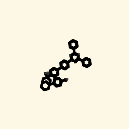 CC1(c2ccc(-c3ccc(-c4nc(-c5ccccc5)nc(-c5ccccc5)n4)cc3)cc2)CC2CCCC(c3ccc(Br)cc3)(C2)C1